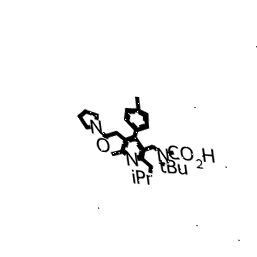 Cc1ccc(-c2c(CC(=O)N3CCCC3)c(C)nc(CC(C)C)c2CN(C(=O)O)C(C)(C)C)cc1